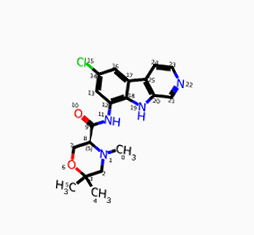 CN1CC(C)(C)OC[C@H]1C(=O)Nc1cc(Cl)cc2c1[nH]c1cnccc12